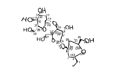 CC[C@H]1C[C@@H](O[C@H]2C[C@@H](O)[C@H](O[C@H]3C[C@@H](O)[C@H](O)[C@@H](CO)O3)[C@@H](CO)O2)C[C@@H](CO)O1